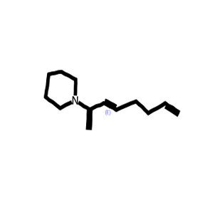 C=CCC/C=C/C(=C)N1CCCCC1